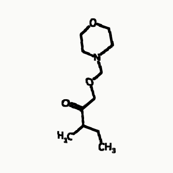 CCC(C)C(=O)COCN1CCOCC1